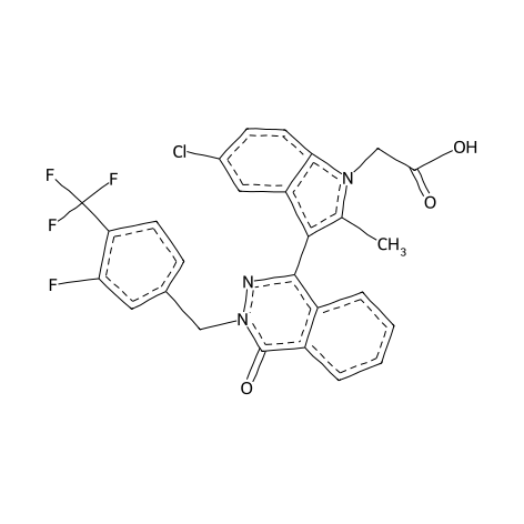 Cc1c(-c2nn(Cc3ccc(C(F)(F)F)c(F)c3)c(=O)c3ccccc23)c2cc(Cl)ccc2n1CC(=O)O